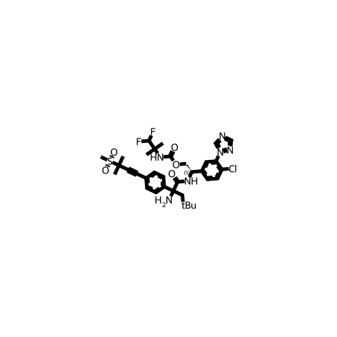 CC(C)(C)CC(N)(C(=O)N[C@H](COC(=O)NC(C)(C)C(F)F)c1ccc(Cl)c(-n2cncn2)c1)c1ccc(C#CC(C)(C)S(C)(=O)=O)cc1